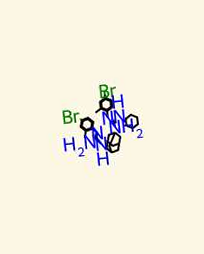 Cc1cc(Br)ccc1N=C(N)NC12CC3CC(CC(C3)C1)C2.Cc1cc(Br)ccc1N=C(N)NC1CCCCC1